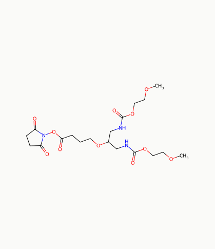 COCCOC(=O)NCC(CNC(=O)OCCOC)OCCCC(=O)ON1C(=O)CCC1=O